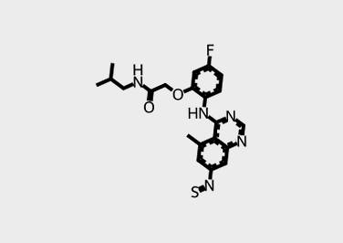 Cc1cc(N=S)cc2ncnc(Nc3ccc(F)cc3OCC(=O)NCC(C)C)c12